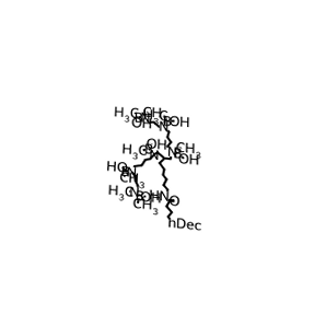 CCCCCCCCCCCCCC(=O)NCCCCCCC(CN(CCCCN(CCCN(C)B(C)O)B(C)O)B(C)O)CN(CCCCN(CCCN(C)B(C)O)B(C)O)B(C)O